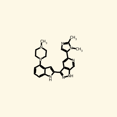 Cc1ncc(-c2cc3c(-c4cc5c(N6CCN(C)CC6)cccc5[nH]4)n[nH]c3cn2)n1C